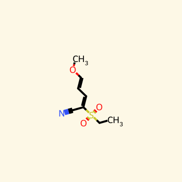 CCS(=O)(=O)C(C#N)=CC=COC